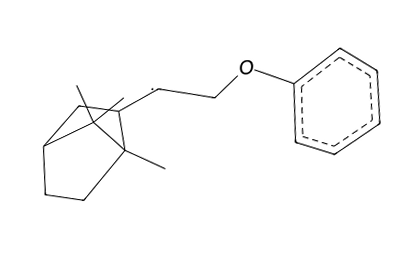 CC1(C)C2CCC1(C)C([CH]COc1ccccc1)C2